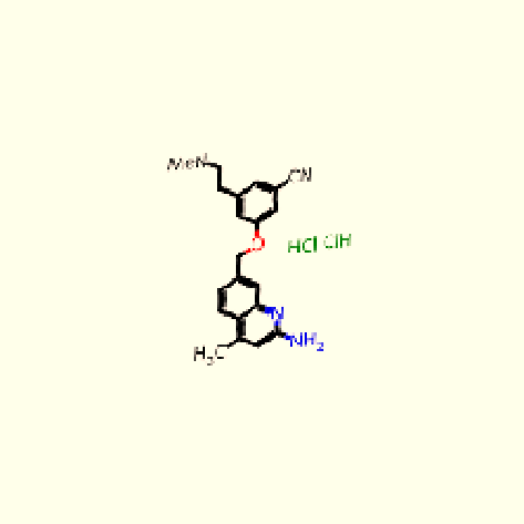 CNCCc1cc(C#N)cc(OCc2ccc3c(C)cc(N)nc3c2)c1.Cl.Cl